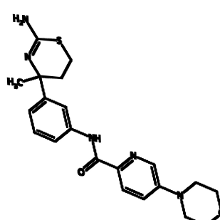 CC1(c2cccc(NC(=O)c3ccc(N4CCOCC4)cn3)c2)CCSC(N)=N1